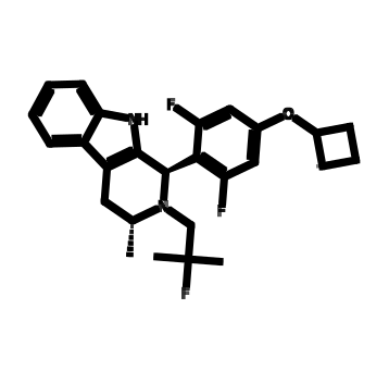 C[C@@H]1Cc2c([nH]c3ccccc23)[C@@H](c2c(F)cc(OC3[CH]CC3)cc2F)N1CC(C)(C)F